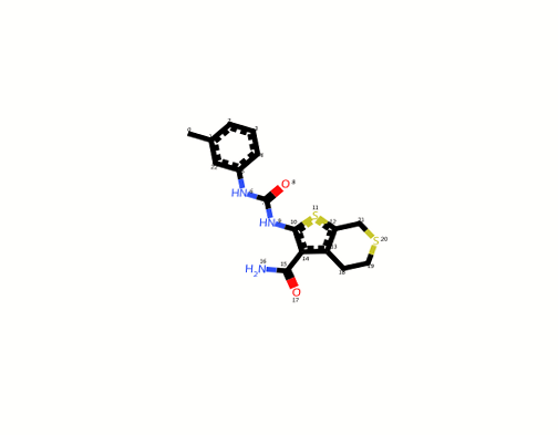 Cc1cccc(NC(=O)Nc2sc3c(c2C(N)=O)CCSC3)c1